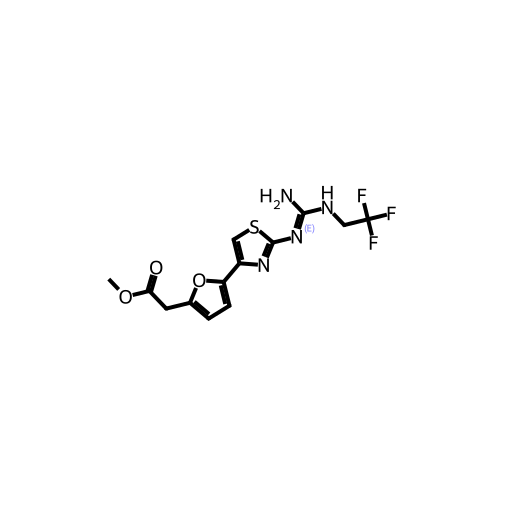 COC(=O)Cc1ccc(-c2csc(/N=C(\N)NCC(F)(F)F)n2)o1